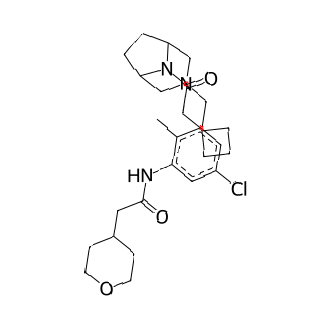 Cc1c(CN2CC3CCC(C2)N3C(=O)CC2CCC2)cc(Cl)cc1NC(=O)CC1CCOCC1